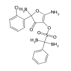 BC1(c2ccccc2Cl)OC(N)=C(OS(=O)(=O)C(B)(B)c2ccccc2)C1=O